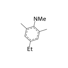 CCc1cc(C)c(NC)c(C)c1